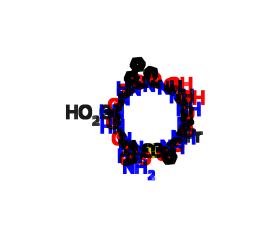 CC(C)C1NC(=O)[C@H](Cc2ccccc2)NC(=O)CSC[C@@H](C(=O)NCC(N)=O)NC(=O)[C@@H]2CCCN2C(=O)[C@H](C)NC(=O)[C@H](CCC(=O)O)NC(=O)[C@H](C)N(C)C(=O)[C@H](Cc2ccc(-c3ccccc3)cc2)NC(=O)[C@H](Cc2ccccc2)N(C)C(=O)[C@H](C)NC(=O)[C@H]([C@@H](C)O)NC(=O)[C@H]([C@@H](C)O)NC(=O)[C@@H]2CCCN2C1=O